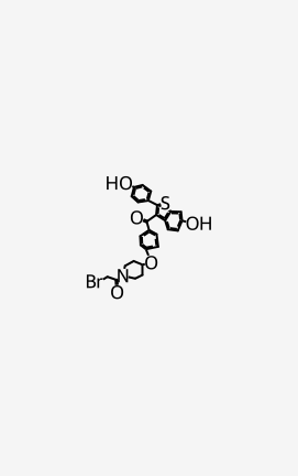 O=C(c1ccc(OC2CCN(C(=O)CBr)CC2)cc1)c1c(-c2ccc(O)cc2)sc2cc(O)ccc12